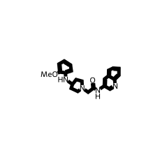 COc1ccccc1NC1CCN(CC(=O)Nc2cnc3ccccc3c2)CC1